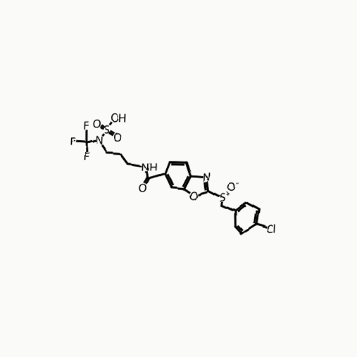 O=C(NCCCN(C(F)(F)F)S(=O)(=O)O)c1ccc2nc([S+]([O-])Cc3ccc(Cl)cc3)oc2c1